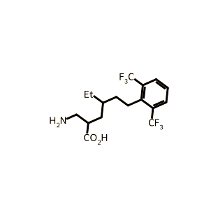 CCC(CCc1c(C(F)(F)F)cccc1C(F)(F)F)CC(CN)C(=O)O